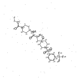 CCOC(=O)N1CCC(NC(=O)C2=NOC3(CCN(S(=O)(=O)c4cccc(C(F)(F)F)c4)CC3)C2)CC1